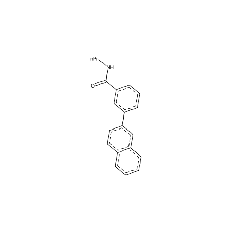 CCCNC(=O)c1cccc(-c2ccc3ccccc3c2)c1